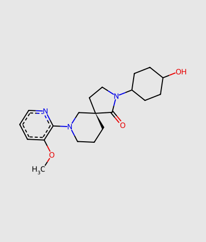 COc1cccnc1N1CCC[C@]2(CCN(C3CCC(O)CC3)C2=O)C1